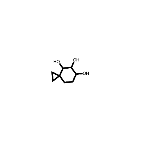 OC1CCC2(CC2)C(O)C1O